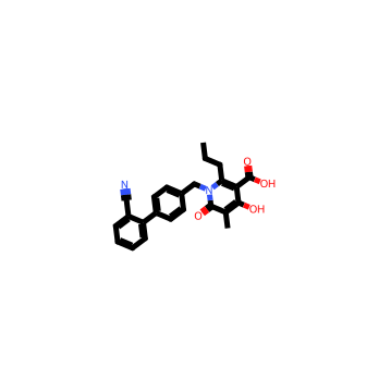 CCCc1c(C(=O)O)c(O)c(C)c(=O)n1Cc1ccc(-c2ccccc2C#N)cc1